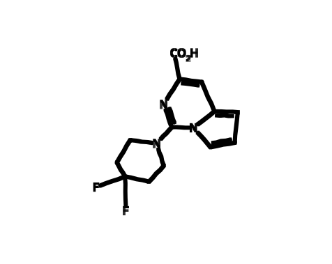 O=C(O)c1cc2cccn2c(N2CCC(F)(F)CC2)n1